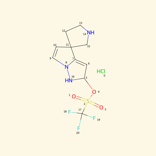 Cl.O=S(=O)(OC1C=C2N(C=CC23CCNC3)N1)C(F)(F)F